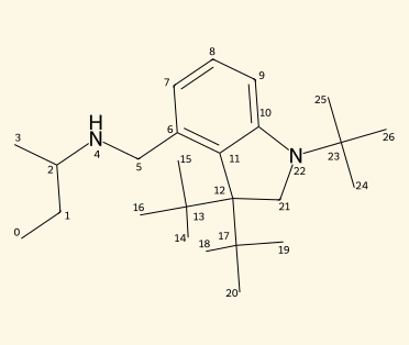 CCC(C)NCc1cccc2c1C(C(C)(C)C)(C(C)(C)C)CN2C(C)(C)C